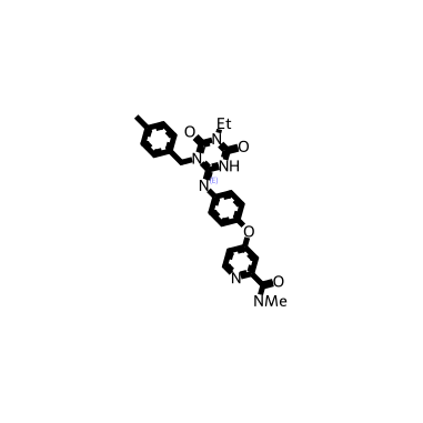 CCn1c(=O)[nH]/c(=N\c2ccc(Oc3ccnc(C(=O)NC)c3)cc2)n(Cc2ccc(C)cc2)c1=O